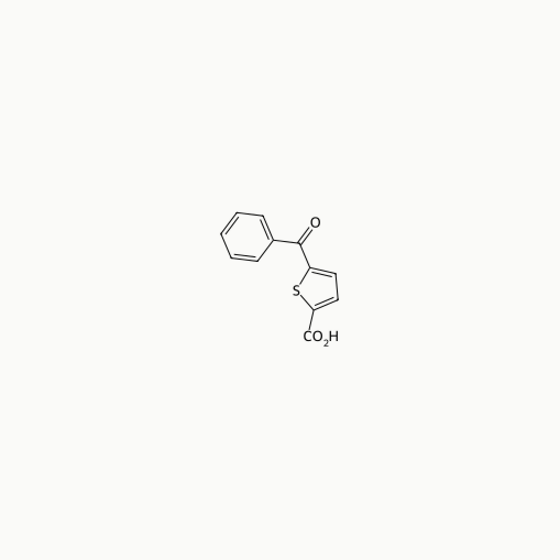 O=C(O)c1ccc(C(=O)c2ccccc2)s1